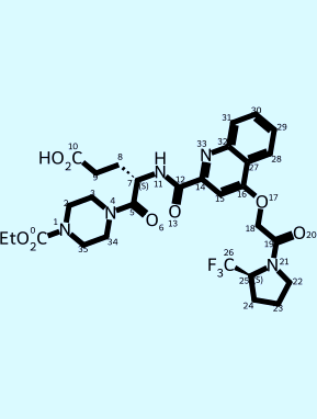 CCOC(=O)N1CCN(C(=O)[C@H](CCC(=O)O)NC(=O)c2cc(OCC(=O)N3CCC[C@H]3C(F)(F)F)c3ccccc3n2)CC1